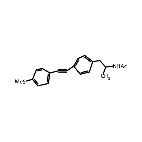 CSc1ccc(C#Cc2ccc(CC(C)NC(C)=O)cc2)cc1